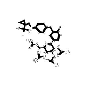 CC(=O)OC[C@H]1O[C@@H](c2ccc(F)c(Cc3ccc(OCC4(C(F)(F)F)CC4)cc3)c2)[C@H](OC(C)=O)[C@@H](OC(C)=O)[C@@H]1OC(C)=O